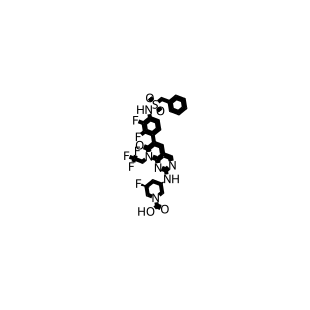 O=C(O)N1C[C@@H](F)C[C@H](Nc2ncc3cc(-c4ccc(NS(=O)(=O)Cc5ccccc5)c(F)c4F)c(=O)n(CC(F)(F)F)c3n2)C1